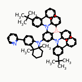 CC(C)(C)c1ccc(N2c3ccccc3B3c4ccccc4N(c4ccc(C(C)(C)C)cc4-c4ccccc4)c4cc(N5c6ccc(-c7ccccn7)cc6C6(C)CCCCC56C)cc2c43)c(-c2ccccc2)c1